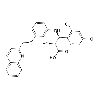 O=C(O)[C@@H](O)[C@@H](Nc1cccc(OCc2ccc3ccccc3n2)c1)c1ccc(Cl)cc1Cl